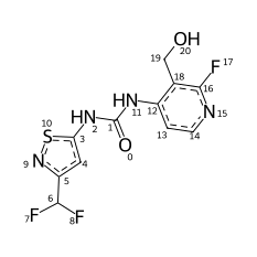 O=C(Nc1cc(C(F)F)ns1)Nc1ccnc(F)c1CO